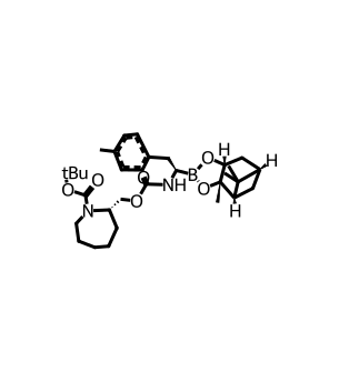 Cc1ccc(C[C@H](NC(=O)OC[C@@H]2CCCCCN2C(=O)OC(C)(C)C)B2O[C@@H]3C[C@@H]4C[C@@H](C4(C)C)[C@]3(C)O2)cc1